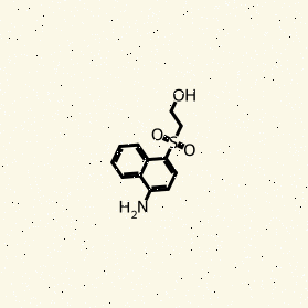 Nc1ccc(S(=O)(=O)CCO)c2ccccc12